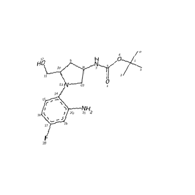 CC(C)(C)OC(=O)NC1CC(CO)N(c2ccc(F)cc2N)C1